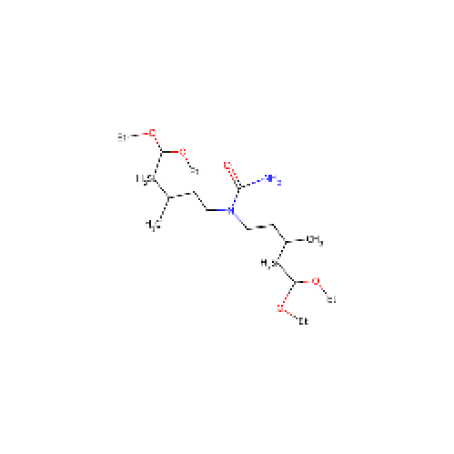 CCOC(OCC)[SiH2]C(C)CCN(CCC(C)[SiH2]C(OCC)OCC)C(N)=O